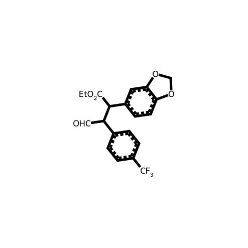 CCOC(=O)C(c1ccc2c(c1)OCO2)C(C=O)c1ccc(C(F)(F)F)cc1